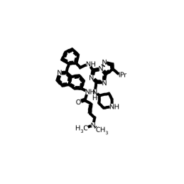 CC(C)c1cnn2c(NCc3ccccc3-c3nccc4cc(NC(=O)/C=C/CN(C)C)ccc34)nc(NC3CCNCC3)nc12